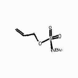 C=C[CH]OS(=O)(=O)CCCC